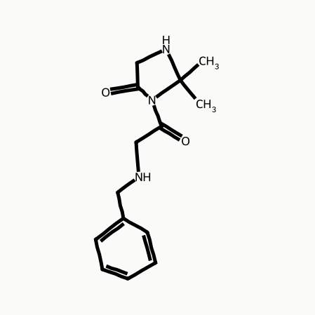 CC1(C)NCC(=O)N1C(=O)CNCc1ccccc1